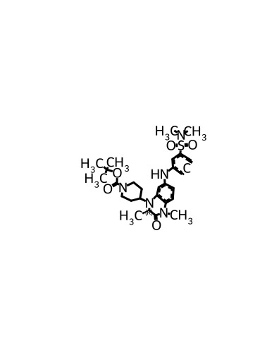 C[C@@H]1C(=O)N(C)c2ccc(Nc3cccc(S(=O)(=O)N(C)C)c3)cc2N1C1CCN(C(=O)OC(C)(C)C)CC1